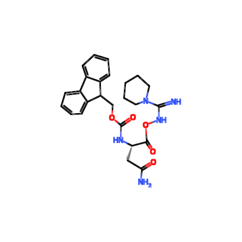 N=C(NOC(=O)[C@H](CC(N)=O)NC(=O)OCC1c2ccccc2-c2ccccc21)N1CCCCC1